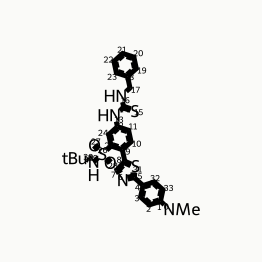 CNc1ccc(-c2ncc(-c3ccc(NC(=S)NCc4ccccc4)cc3S(=O)(=O)NC(C)(C)C)s2)cc1